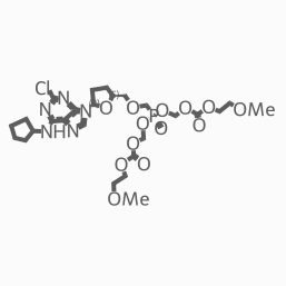 COCCOC(=O)OCOP(=O)(COC[C@@H]1CC[C@H](n2cnc3c(NC4CCCC4)nc(Cl)nc32)O1)OCOC(=O)OCCOC